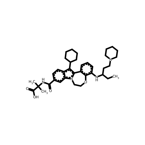 CCC(CCN1CCCCC1)Nc1cccc2c1OCCn1c-2c(C2CCCCC2)c2ccc(C(=O)NC(C)(C)C(=O)O)cc21